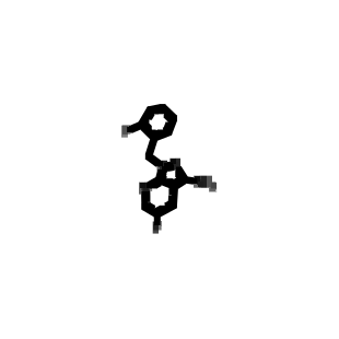 Nc1nn(Cc2ccccc2F)c2ncc(F)cc12